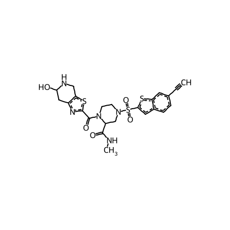 C#Cc1ccc2cc(S(=O)(=O)N3CCN(C(=O)c4nc5c(s4)CNC(O)C5)C(C(=O)NC)C3)sc2c1